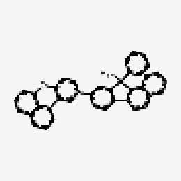 CC1(c2ccccc2)c2cc(-c3ccc4c(c3)-c3cccc5cccc(c35)O4)ccc2-c2ccc3ccccc3c21